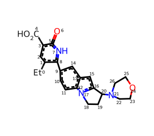 CCc1cc(C(=O)O)c(=O)[nH]c1-c1ccc2c(c1)cc1n2CCC1N1CCOCC1